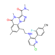 Cc1cc(CCNc2ccc(Cl)nc2-c2ccc(C#N)cc2F)c2c(c1)c(=O)n(C)c1c(C(=O)N(C)C)ncn21